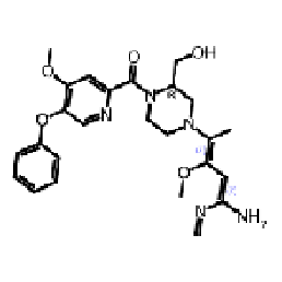 C=N/C(N)=C\C(OC)=C(/C)N1CCN(C(=O)c2cc(OC)c(Oc3ccccc3)cn2)[C@@H](CO)C1